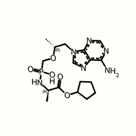 C[C@H](Cn1cnc2c(N)ncnc21)OCP(=O)(O)N[C@H](C)C(=O)OC1CCCC1